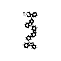 C=Cc1c(C=C)n(-c2ccc3c(c2)c2ccccc2n3-c2ccc3oc4c(c3c2)C=C(C2=CC=C[C@@H](n3c5ccccc5n5c6ccccc6nc35)C2)CC4)c2ccccc12